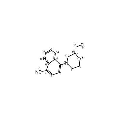 N#Cc1ccc(N2CCO[C@@H](CCl)C2)c2cccnc12